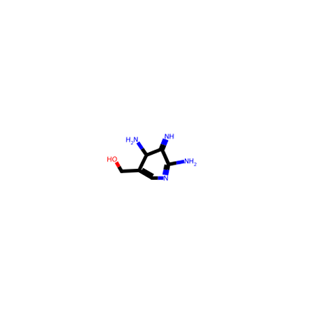 N=C1C(N)=NC=C(CO)C1N